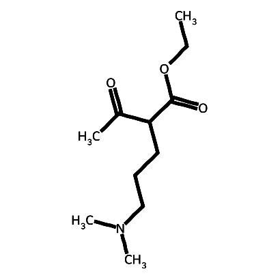 CCOC(=O)C(CCCN(C)C)C(C)=O